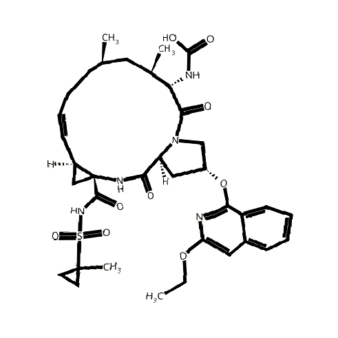 CCOc1cc2ccccc2c(O[C@@H]2C[C@H]3C(=O)N[C@]4(C(=O)NS(=O)(=O)C5(C)CC5)C[C@H]4/C=C\CC[C@@H](C)C[C@@H](C)[C@H](NC(=O)O)C(=O)N3C2)n1